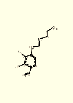 CCCNCPc1ccc(C=O)c(F)c1F